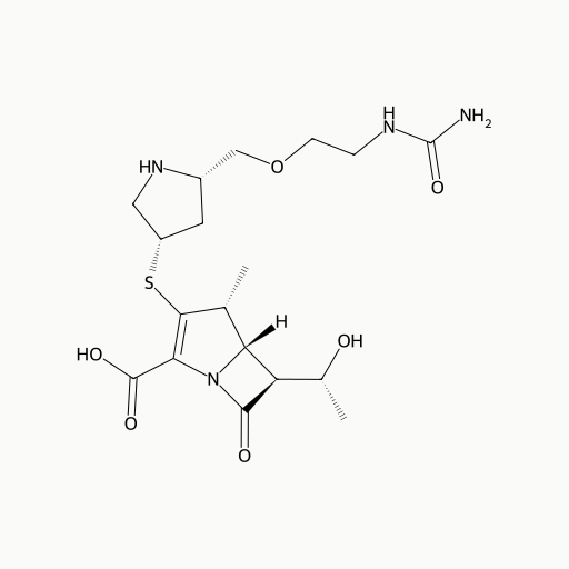 C[C@@H](O)[C@H]1C(=O)N2C(C(=O)O)=C(S[C@@H]3CN[C@H](COCCNC(N)=O)C3)[C@H](C)[C@H]12